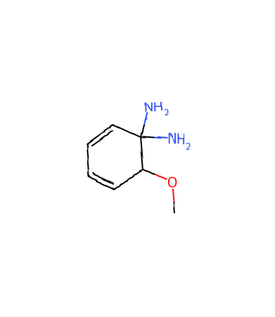 COC1C=CC=CC1(N)N